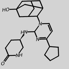 O=C1CC[C@@H](NC2N=C(C3CCCC3)C=CN2C2C3CC4CC2CC(O)(C4)C3)CN1